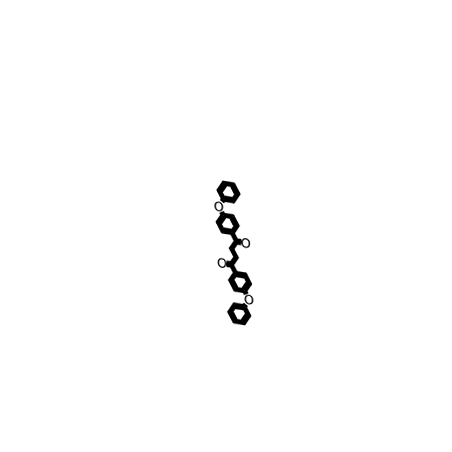 O=C(CCC(=O)c1ccc(Oc2ccccc2)cc1)c1ccc(Oc2ccccc2)cc1